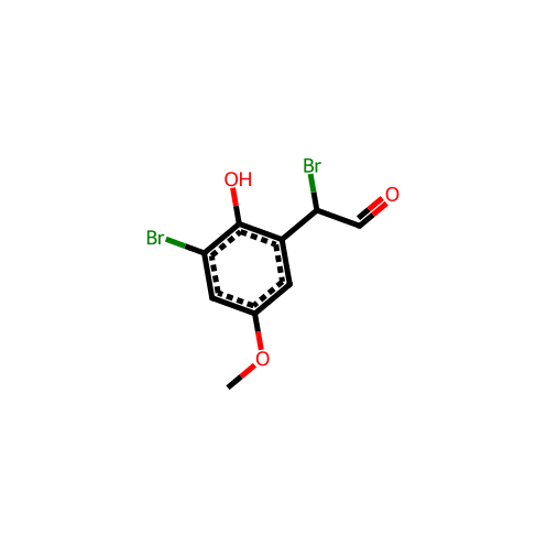 COc1cc(Br)c(O)c(C(Br)C=O)c1